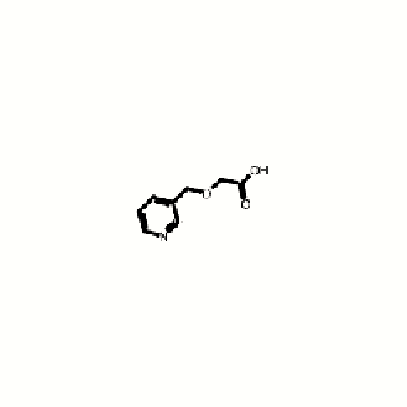 O=C(O)COCc1[c]nccc1